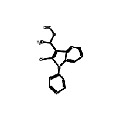 CC(OC=O)c1c(Cl)n(-c2ccccc2)c2ccccc12